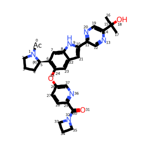 CC(=O)N1CCC[C@@H]1c1cc2[nH]c(-c3cnc(C(C)(C)O)cn3)cc2cc1Oc1ccc(C(=O)N2CCC2)nc1